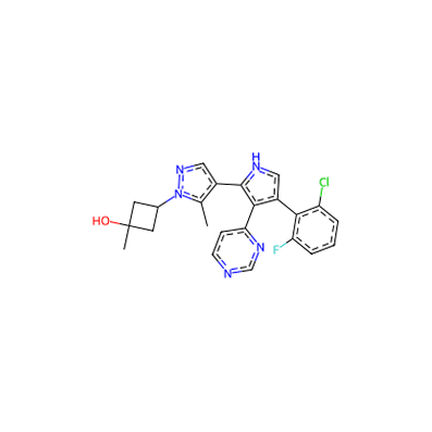 Cc1c(-c2[nH]cc(-c3c(F)cccc3Cl)c2-c2ccncn2)cnn1C1CC(C)(O)C1